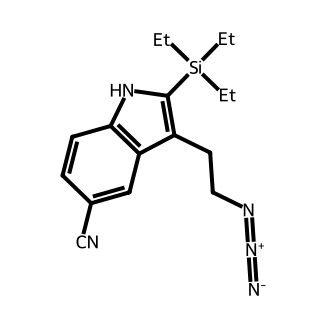 CC[Si](CC)(CC)c1[nH]c2ccc(C#N)cc2c1CCN=[N+]=[N-]